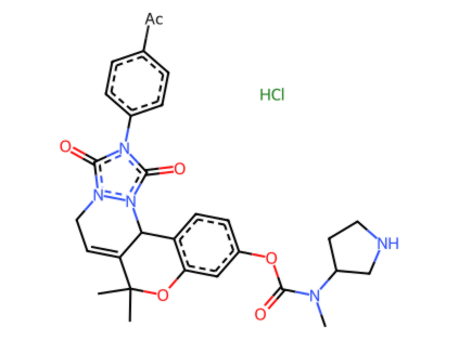 CC(=O)c1ccc(-n2c(=O)n3n(c2=O)C2C(=CC3)C(C)(C)Oc3cc(OC(=O)N(C)C4CCNC4)ccc32)cc1.Cl